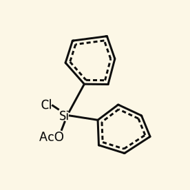 CC(=O)O[Si](Cl)(c1ccccc1)c1ccccc1